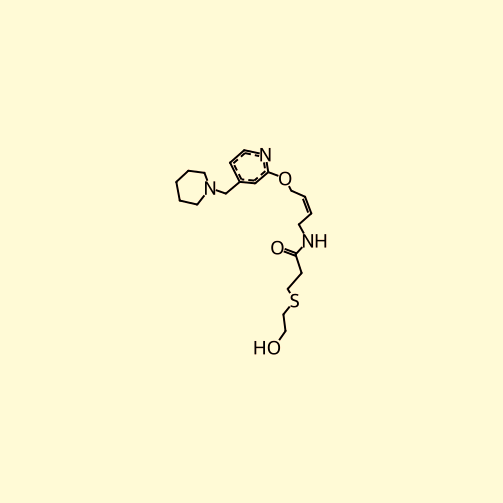 O=C(CCSCCO)NC/C=C\COc1cc(CN2CCCCC2)ccn1